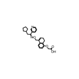 O=C(O)COc1cccc2c1CCC=C2CO/N=C(/CC1CCCC1)c1cccnc1